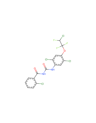 O=C(NC(=O)c1ccccc1Cl)Nc1cc(Cl)c(OC(F)(F)C(F)Cl)cc1Cl